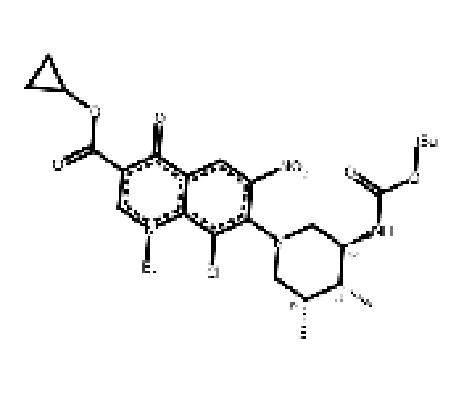 CCn1cc(C(=O)OC2CC2)c(=O)c2cc([N+](=O)[O-])c(N3C[C@@H](C)[C@@H](C)[C@H](NC(=O)OC(C)(C)C)C3)c(Cl)c21